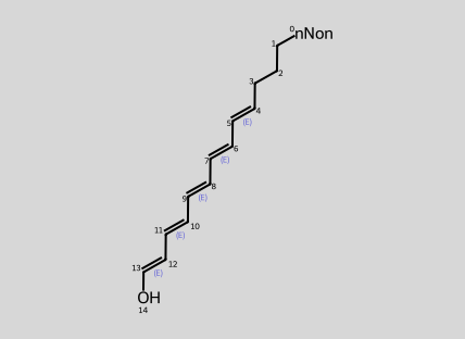 CCCCCCCCCCCC/C=C/C=C/C=C/C=C/C=C/O